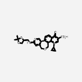 CC1(C)OCC(CNc2cc3c(cn2)-c2ccc4c(=O)c(C(=O)O)cn(C5CC5)c4c2COC3)O1